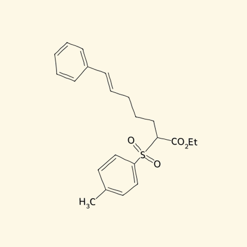 CCOC(=O)C(CCC/C=C/c1ccccc1)S(=O)(=O)c1ccc(C)cc1